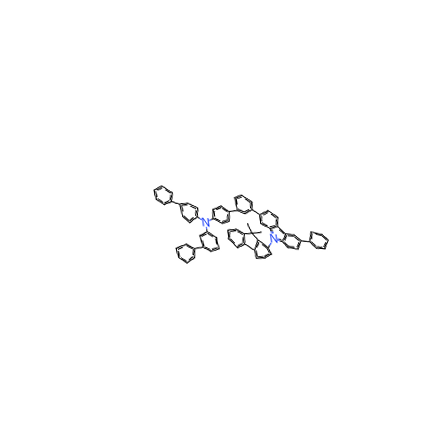 CC1(C)c2ccccc2-c2cccc(-n3c4ccc(-c5ccccc5)cc4c4ccc(-c5cccc(-c6ccc(N(c7ccc(-c8ccccc8)cc7)c7cccc(-c8ccccc8)c7)cc6)c5)cc43)c21